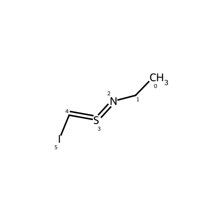 CCN=S=CI